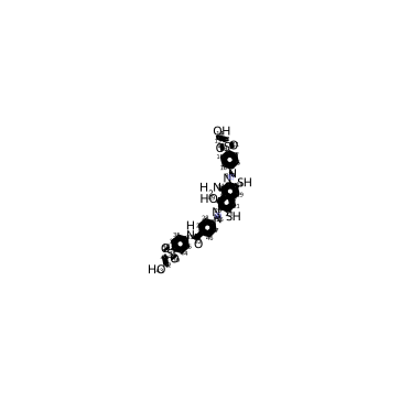 Nc1c(/N=N/c2ccc(S(=O)(=O)CCO)cc2)c(S)cc2cc(S)c(/N=N/c3ccc(C(=O)Nc4ccc(S(=O)(=O)CCO)cc4)cc3)c(O)c12